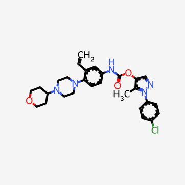 C=Cc1cc(NC(=O)Oc2cnn(-c3ccc(Cl)cc3)c2C)ccc1N1CCN(C2CCOCC2)CC1